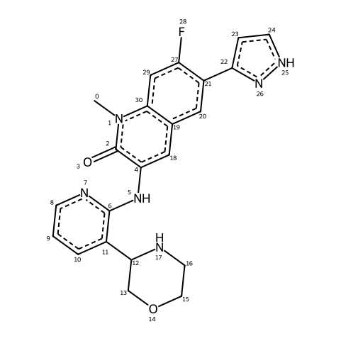 Cn1c(=O)c(Nc2ncccc2C2COCCN2)cc2cc(-c3cc[nH]n3)c(F)cc21